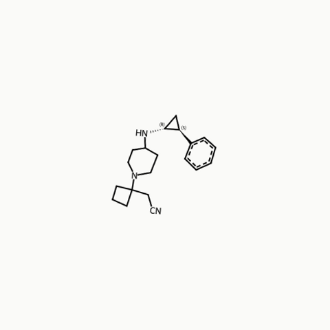 N#CCC1(N2CCC(N[C@@H]3C[C@H]3c3ccccc3)CC2)CCC1